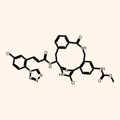 COC(=O)Nc1ccc2c(c1)CNC(=O)c1cccc(c1)CC(NC(=O)/C=C/c1cc(Cl)ccc1-n1cnnn1)c1nc-2c(Cl)[nH]1